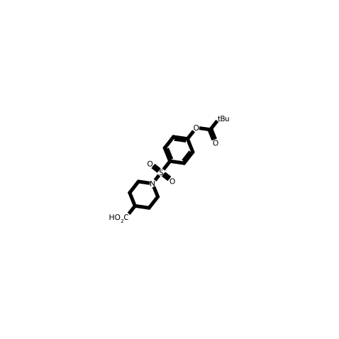 CC(C)(C)C(=O)Oc1ccc(S(=O)(=O)N2CCC(C(=O)O)CC2)cc1